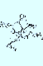 CCO[Si](OCC)(OCC)C(C#N)CC